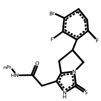 CCCNC(=O)Cc1[nH]c(=S)n2c1CC(c1c(F)ccc(Br)c1F)C2